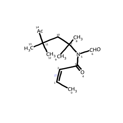 C/C=C\C(=O)N(C=O)C(C)(C)CC(C)(C)C(C)=O